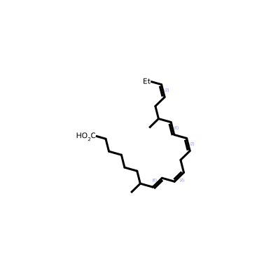 CC/C=C\CC(C)/C=C/C=C\C/C=C\C=C\C(C)CCCCCC(=O)O